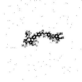 COC(=O)C[C@@H]1N=C(c2ccc(-c3ccc(C(=O)NCc4ccc(S(=O)(=O)Nc5ccc(C#N)c6c(C#N)c[nH]c56)cc4)cc3)cc2)c2c(sc(C)c2C)-n2c(C)nnc21